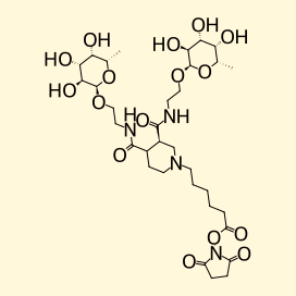 C[C@@H]1O[C@@H](OCCNC(=O)C2CCN(CCCCCC(=O)ON3C(=O)CCC3=O)C[C@@H]2C(=O)NCCO[C@@H]2O[C@@H](C)[C@@H](O)[C@@H](O)[C@@H]2O)[C@@H](O)[C@H](O)[C@@H]1O